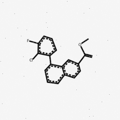 C=C(OC)c1ccc2cccc(-c3cccc(F)c3Cl)c2c1